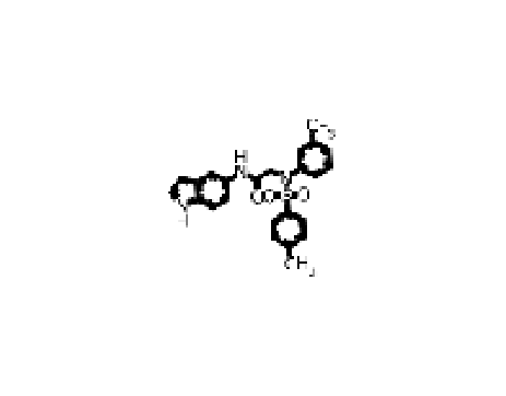 Cc1ccc(S(=O)(=O)N(CC(=O)Nc2ccc3[nH]ccc3c2)c2cccc(C(F)(F)F)c2)cc1